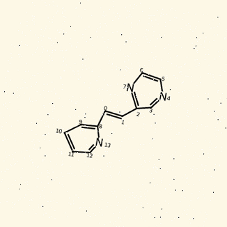 C(=Cc1cnccn1)c1ccccn1